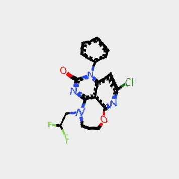 O=c1nc2c3c(nc(Cl)cc3n1-c1ccccc1)OCCN2CC(F)F